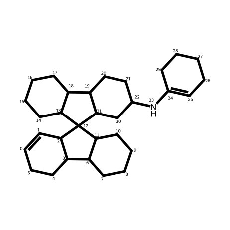 C1=CC2C(CC1)C1CCCCC1C21C2CCCCC2C2CCC(NC3=CCCCC3)CC21